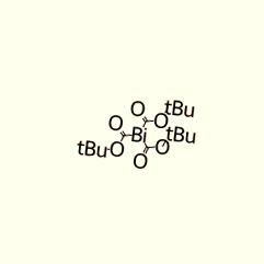 CC(C)(C)O[C](=O)[Bi]([C](=O)OC(C)(C)C)[C](=O)OC(C)(C)C